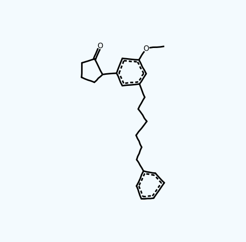 COc1cc(CCCCCCc2ccccc2)cc(C2CCCC2=O)c1